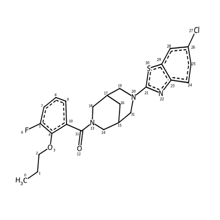 CCCOc1c(F)cccc1C(=O)N1CC2CC(C1)CN(c1nc3ccc(Cl)cc3s1)C2